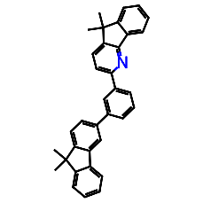 CC1(C)c2ccccc2-c2cc(-c3cccc(-c4ccc5c(n4)-c4ccccc4C5(C)C)c3)ccc21